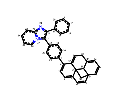 C1=CC23C=CC4=CC=C(c5ccc(-c6c(-c7ccccc7)nc7ccccn67)cc5)C5=CCC(=C1)C2C45C3